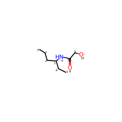 CCCC(CC)NC(=O)C[O]